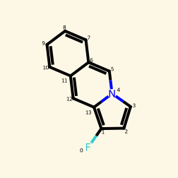 Fc1ccn2cc3ccccc3cc12